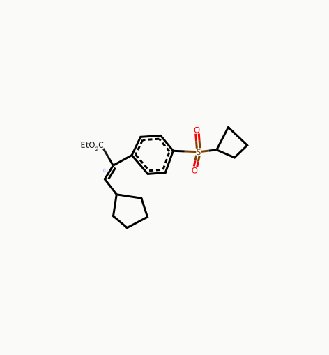 CCOC(=O)/C(=C/C1CCCC1)c1ccc(S(=O)(=O)C2CCC2)cc1